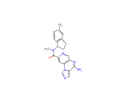 CN(C(=O)c1cc2c(cn1)nc(N)c1cncn12)C1CCc2cc(C(F)(F)F)ccc21